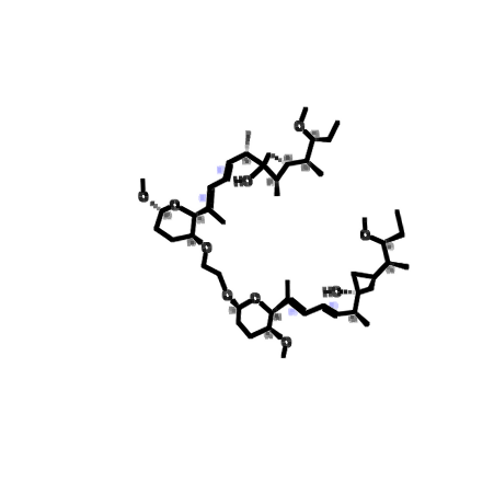 CC[C@H](OC)[C@@H](C)[C@H]1CC(O)([C@@H](C)/C=C/C=C(\C)[C@@H]2O[C@@H](OC)CC[C@@H]2OCCO[C@@H]2CC[C@H](OC)[C@H](/C(C)=C/C=C/[C@H](C)[C@]3(O)C[C@H]([C@H](C)[C@H](CC)OC)C3)O2)[C@@H]1C